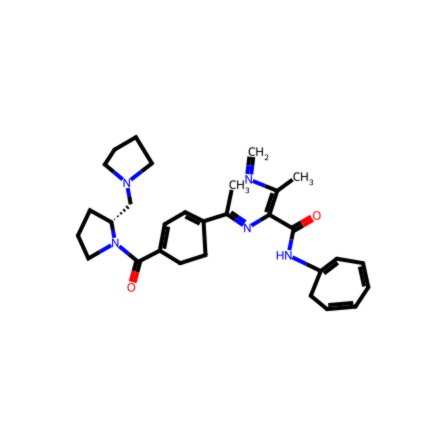 C=N/C(C)=C(\N=C(/C)C1=CC=C(C(=O)N2CCC[C@@H]2CN2CCCC2)CC1)C(=O)NC1=CC=CC=CC1